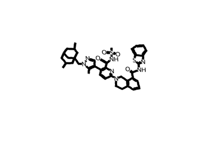 Cc1c(-c2ccc(N3CCc4cccc(C(=O)Nc5nc6ccccc6s5)c4C3)nc2C(=O)NS(C)(=O)=O)cnn1CC12CC(C)CC(CC(C)C1)C2